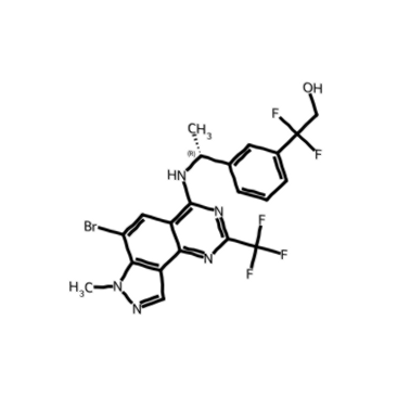 C[C@@H](Nc1nc(C(F)(F)F)nc2c1cc(Br)c1c2cnn1C)c1cccc(C(F)(F)CO)c1